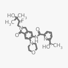 C[C@@H](O)c1cccc(C(=O)Nc2cc3c(cc2N2CCOCC2)C(=O)N(C[C@@H](F)C(C)(C)O)C3)n1